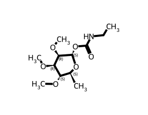 CCNC(=O)O[C@@H]1O[C@@H](C)[C@H](OC)[C@@H](OC)[C@H]1OC